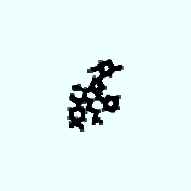 CC(C)(C)[C@H](c1nc(-c2cc(F)ccc2F)cn1Cc1ccccc1)N(CCCN)C(=O)N1CCS(=O)(=O)CC1